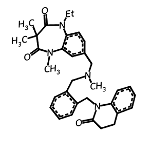 CCN1C(=O)C(C)(C)C(=O)N(C)c2cc(CN(C)Cc3ccccc3CN3C(=O)CCc4ccccc43)ccc21